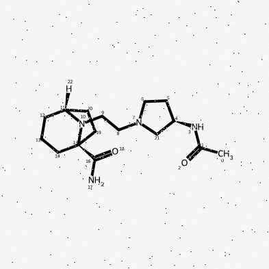 CC(=O)N[C@@H]1CCN(CCN2[C@@H]3C[CH]C[C@@]2(C(N)=O)CC3)C1